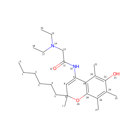 CCCCCCC1(C)C=C(NC(=O)CN(CC)CC)c2c(C)c(O)c(C)c(C)c2O1